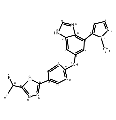 Cn1nccc1-c1cc(Nc2ncc(-c3nnc(C(F)F)o3)cn2)cc2[nH]cnc12